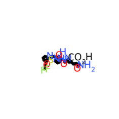 NC(=O)/C=C/CCC(NC(=O)O)C(=O)Nc1cccn(Cc2nc3cccc(OCC(F)F)c3s2)c1=O